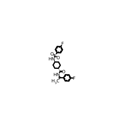 C[C@@H](NC(=O)[C@H]1CC[C@H](NS(=O)(=O)c2ccc(F)cc2)CC1)c1ccc(F)cc1